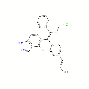 O=C(O)C=Cc1ccc(C(=C(CCCl)c2ccccc2)c2ccc3[nH]ncc3c2F)cc1